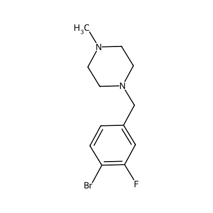 CN1CCN(Cc2ccc(Br)c(F)c2)CC1